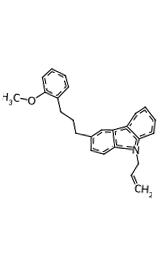 C=CCn1c2ccccc2c2cc(CCCc3ccccc3OC)ccc21